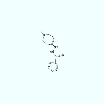 CN1CC=C(NNC(=O)c2ccncc2)CC1